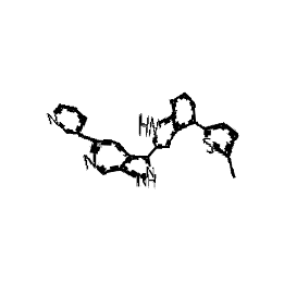 Cc1ccc(-c2cccc3[nH]c(-c4n[nH]c5cnc(-c6cccnc6)cc45)cc23)s1